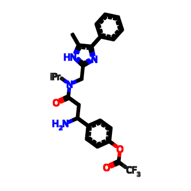 Cc1[nH]c(CN(C(=O)CC(N)c2ccc(OC(=O)C(F)(F)F)cc2)C(C)C)nc1-c1ccccc1